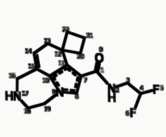 O=C(NCC(F)F)c1cn2c3c1C1(CC=C3CNCC2)CCC1